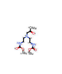 COC(=O)CN(CCNC(=O)OC(C)(C)C)CCNC(=O)OC(C)(C)C